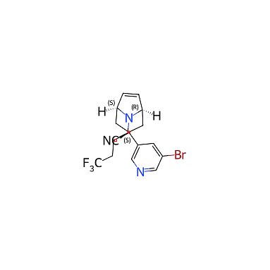 N#C[C@@]1(c2cncc(Br)c2)C[C@H]2C=C[C@@H](C1)N2CCCC(F)(F)F